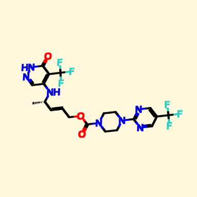 C[C@@H](/C=C/COC(=O)N1CCN(c2ncc(C(F)(F)F)cn2)CC1)Nc1cn[nH]c(=O)c1C(F)(F)F